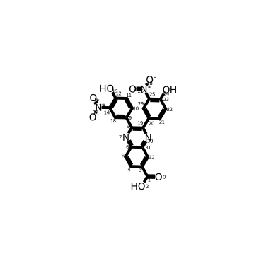 O=C(O)c1ccc2nc(-c3ccc(O)c([N+](=O)[O-])c3)c(-c3ccc(O)c([N+](=O)[O-])c3)nc2c1